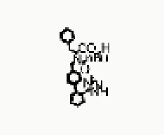 CCCCC(=O)N(Cc1ccc(-c2ccccc2-c2nnn[nH]2)cc1)[C@@H](Cc1ccccc1)C(=O)O